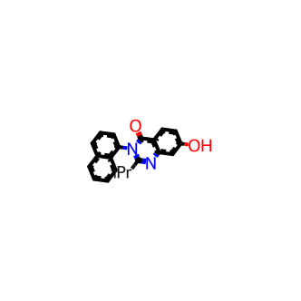 CC(C)c1nc2cc(O)ccc2c(=O)n1-c1cccc2ccccc12